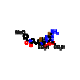 COc1ccc(C(=O)N2CC/C(=C\C3=C(C(=O)O)N4C(=O)[C@@H](NC(=O)/C(=N\OCC(=O)O)c5csc(N)n5)[C@H]4SC3)C2=O)cc1